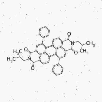 CC(C)CN1C(=O)c2ccc3c4c(-c5ccccc5)cc5c6c(ccc(c7c(-c8ccccc8)cc(c2c37)C1=O)c64)C(=O)N(CC(C)C)C5=O